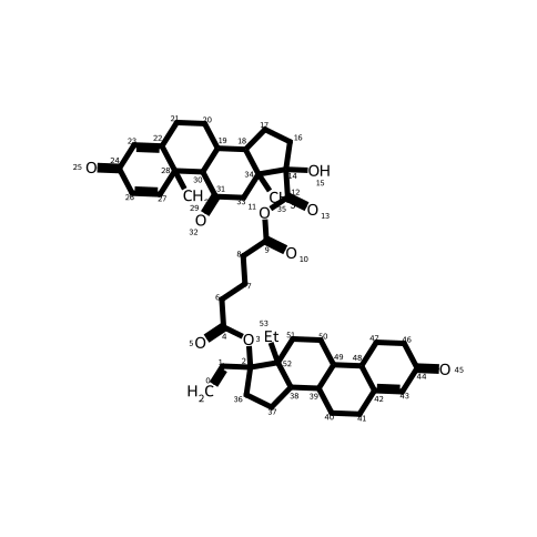 C=CC1(OC(=O)CCCC(=O)OC(=O)C2(O)CCC3C4CCC5=CC(=O)C=CC5(C)C4C(=O)CC32C)CCC2C3CCC4=CC(=O)CCC4C3CCC21CC